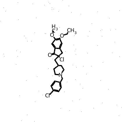 CCOc1cc2c(cc1OC)C(=O)C(Cl)(CC1CCN(Cc3ccc(Cl)cc3)CC1)C2